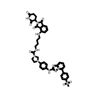 CS(=O)(=O)c1ccc(-c2cccc3nc(Nc4ccc(N5CCN(C(=O)NCCCCNc6cccc7c6C(=O)N(C6CCC(=O)NC6=O)C7=O)C5)cc4)nn23)cc1